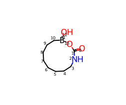 O=C1NCCCCCCCCB(O)O1